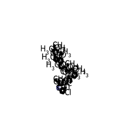 CCC(C(=O)N1CCN(CC(/C=C\c2ccc(Cl)c(Cl)c2)C(=O)OC)CC1)[C@H]1CC[C@H](C)[C@H]([C@@H](C)[C@H](O)[C@H](C)C(=O)[C@H](CC)[C@H]2O[C@]3(C=C[C@@H](OC(C)=O)[C@]4(CC[C@@](C)([C@H]5CC[C@](O)(CC)[C@H](C)O5)O4)O3)[C@H](C)C[C@@H]2C)O1